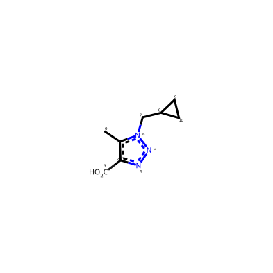 Cc1c(C(=O)O)nnn1CC1CC1